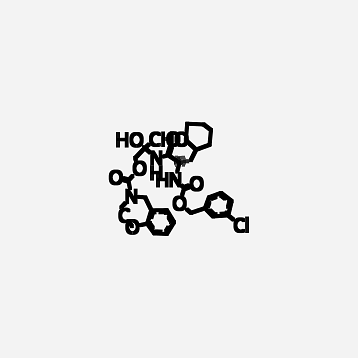 O=CC(O)(COC(=O)N1CCOc2ccccc2C1)NC(=O)[C@H](CC1CCCCC1)NC(=O)OCc1cccc(Cl)c1